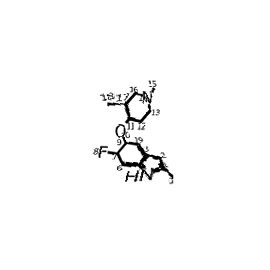 Cc1cc2c([nH]1)=CC(F)C(OC1CCN(C)C[C@@H]1C)C=2